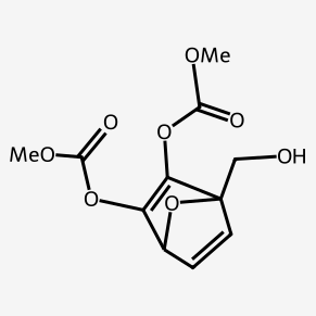 COC(=O)OC1=C(OC(=O)OC)C2(CO)C=CC1O2